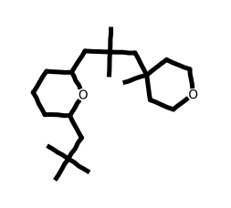 CC(C)(C)CC1CCCC(CC(C)(C)CC2(C)CCOCC2)O1